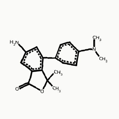 CN(C)c1ccc(-c2cc(N)cc3c2C(C)(C)OC3=O)cc1